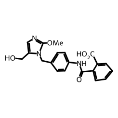 COc1ncc(CO)n1Cc1ccc(NC(=O)c2ccccc2C(=O)O)cc1